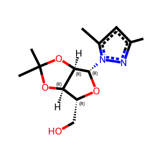 Cc1cc(C)n([C@@H]2O[C@H](CO)[C@H]3OC(C)(C)O[C@H]32)n1